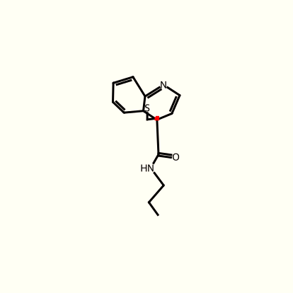 CCCNC(=O)C1=C2C=CN=C3C=CC=CC32SC1